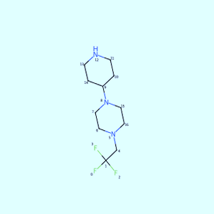 FC(F)(F)CN1CCN(C2CCNCC2)CC1